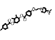 Cc1ccc(C(=O)Oc2ccc(OC(=O)c3ccc(OCC[n+]4ccc(N(C)C)cc4)cc3)c(C)c2C)cc1